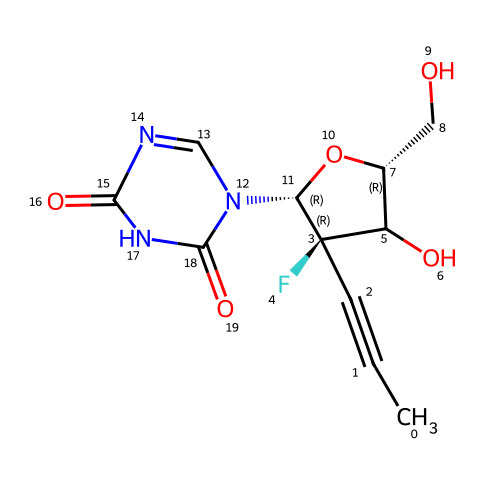 CC#C[C@@]1(F)C(O)[C@@H](CO)O[C@H]1n1cnc(=O)[nH]c1=O